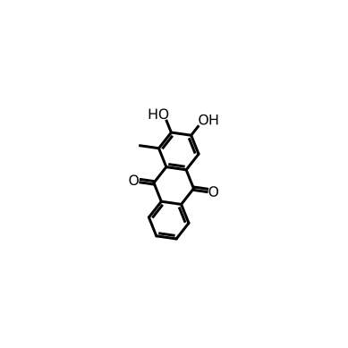 Cc1c(O)c(O)cc2c1C(=O)c1ccccc1C2=O